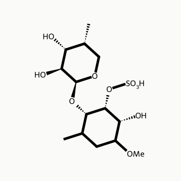 COC1CC(C)[C@H](O[C@@H]2OC[C@@H](C)[C@@H](O)[C@@H]2O)[C@H](OS(=O)(=O)O)[C@@H]1O